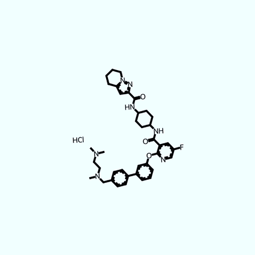 CN(C)CCN(C)Cc1ccc(-c2cccc(Oc3ncc(F)cc3C(=O)NC3CCC(NC(=O)c4cc5n(n4)CCCC5)CC3)c2)cc1.Cl